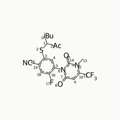 CCC(C)C(Sc1cc(-n2c(=O)cc(C(F)(F)F)n(C)c2=O)c(F)cc1C#N)C(C)=O